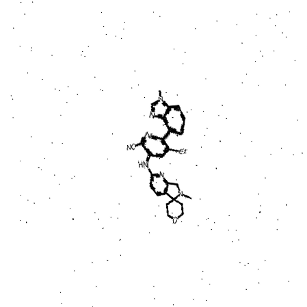 CCc1cc(Nc2ccc3c(n2)CN(C)C32CCOCC2)c(C#N)nc1-c1cccc2c1ncn2C